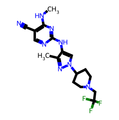 CNc1nc(Nc2cn(C3CCN(CC(F)(F)F)CC3)nc2C)ncc1C#N